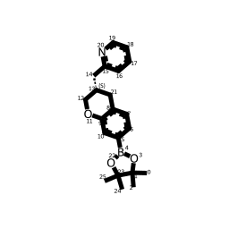 CC1(C)OB(c2ccc3c(c2)OC[C@H](Cc2ccccn2)C3)OC1(C)C